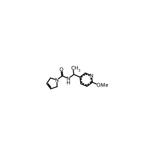 COc1ccc(C(C)NC(=O)N2CC=CC2)cn1